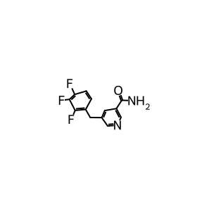 NC(=O)c1cncc(Cc2ccc(F)c(F)c2F)c1